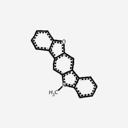 Cn1c2ccccc2c2cc3oc4ccccc4c3cc21